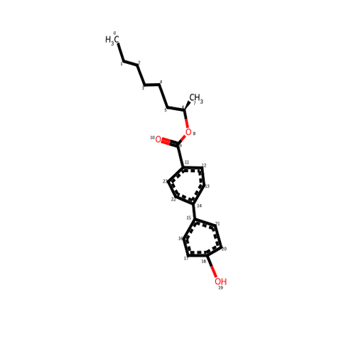 CCCCCC[C@@H](C)OC(=O)c1ccc(-c2ccc(O)cc2)cc1